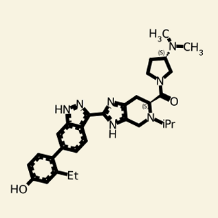 CCc1cc(O)ccc1-c1ccc2c(-c3nc4c([nH]3)CN(C(C)C)[C@H](C(=O)N3CC[C@H](N(C)C)C3)C4)n[nH]c2c1